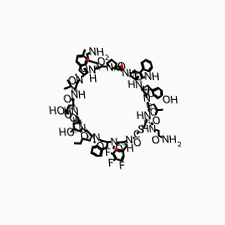 CCCC[C@H]1C(=O)N2C[C@@H](O)C[C@@H]2C(=O)N[C@@H](CC(=O)O)C(=O)N[C@@H](C(C)C)C(=O)N(C)C(Cc2ccc(C)cc2)C(=O)N[C@@H](CCCN)C(=O)N2CCC[C@@H]2C(=O)N[C@@H](Cc2c[nH]c3ccccc23)C(=O)N[C@@H](Cc2ccc(O)cc2)C(=O)N[C@@H](CC(C)C)C(=O)N[C@H](C(=O)NCC(N)=O)CSCC(=O)N[C@@H](Cc2cc(F)c(F)c(F)c2)C(=O)N(C)C(Cc2ccccc2)C(=O)N1C